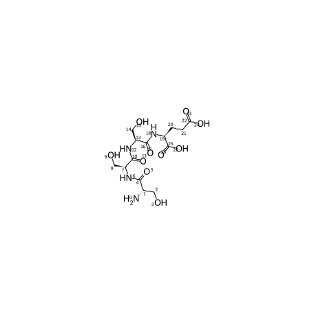 N[C@@H](CO)C(=O)N[C@@H](CO)C(=O)N[C@@H](CO)C(=O)N[C@@H](CCC(=O)O)C(=O)O